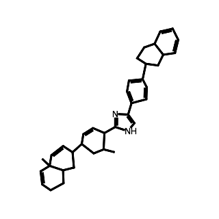 CC1CC(C2C=CC3(C)C=CCCC3C2)C=CC1c1nc(-c2ccc(C3CCC4C=CC=CC4C3)cc2)c[nH]1